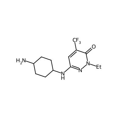 CCn1nc(NC2CCC(N)CC2)cc(C(F)(F)F)c1=O